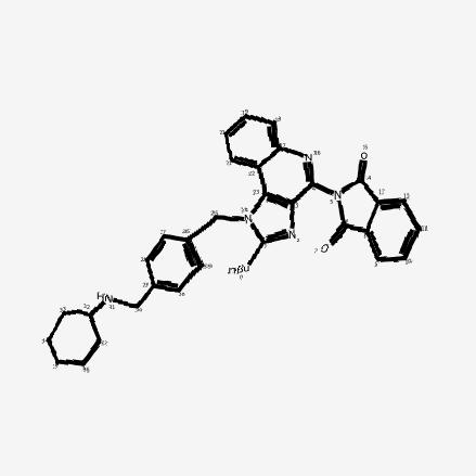 CCCCc1nc2c(N3C(=O)c4ccccc4C3=O)nc3ccccc3c2n1Cc1ccc(CNC2CCCCC2)cc1